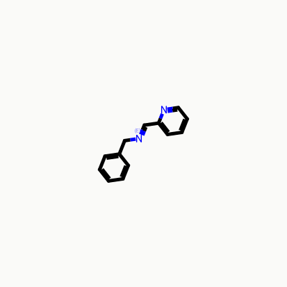 C(=N\Cc1ccccc1)/c1ccccn1